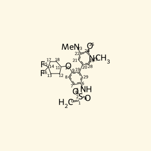 C=CS(=O)(=O)Nc1ccc(OC2CCC(F)(F)CC2)c(-c2cc(NC)c(=O)n(C)c2)c1